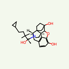 CC(C)(CCC1CC1)[C@@](C)(O)N1CC[C@]23c4c5ccc(O)c4OC2C2(O)CCC3(CC2)[C@H]1C5